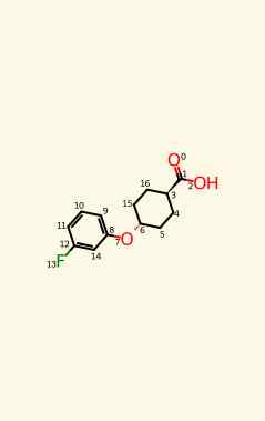 O=C(O)[C@H]1CC[C@H](Oc2cccc(F)c2)CC1